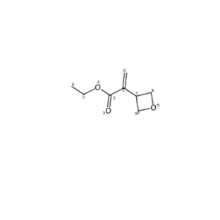 C=C(C(=O)OCC)C1COC1